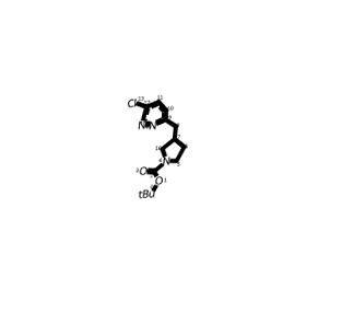 CC(C)(C)OC(=O)N1CCC(Cc2ccc(Cl)nn2)C1